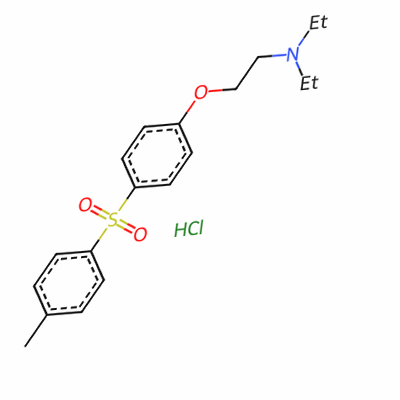 CCN(CC)CCOc1ccc(S(=O)(=O)c2ccc(C)cc2)cc1.Cl